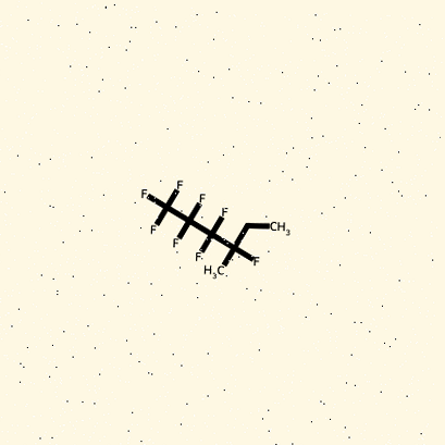 CCC(C)(F)C(F)(F)C(F)(F)C(F)(F)F